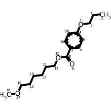 CCCOc1ccc(C(=O)OCCCCCCOC)cc1